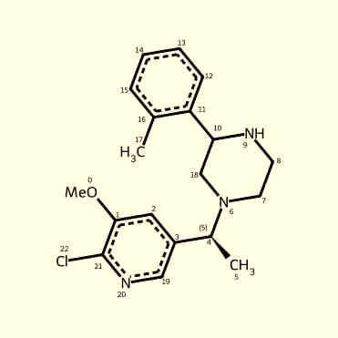 COc1cc([C@H](C)N2CCNC(c3ccccc3C)C2)cnc1Cl